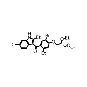 CCOC[C@H](COc1cc(CC)c(C(=O)c2c(CC)[nH]c3cc(Cl)ccc23)cc1Br)OCC